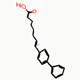 O=C(O)CCCCC/C=C/c1ccc(-c2ccccc2)cc1